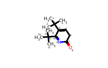 CC(C)(C)C1=CCC(=O)N=C1C(C)(C)C